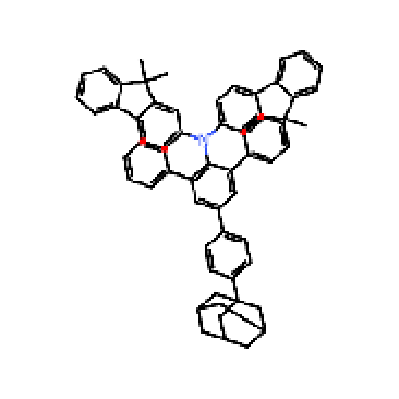 CC1(C)c2ccccc2-c2ccc(N(c3ccc4c(c3)C(C)(C)c3ccccc3-4)c3c(-c4ccccc4)cc(-c4ccc(C56CC7CC(CC(C7)C5)C6)cc4)cc3-c3ccccc3)cc21